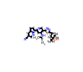 [2H]C([2H])([2H])C(O)(CCc1nnc(-c2cnc(-c3ccc4cc(C#N)cnn34)cc2NC(C)C)s1)C([2H])([2H])[2H]